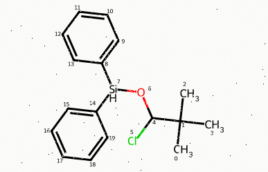 CC(C)(C)C(Cl)O[SiH](c1ccccc1)c1ccccc1